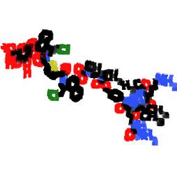 CC(=O)N[C@@H](CCCCN)C(=O)N[C@H](C(=O)N[C@@H](CCCNC(N)=O)C(=O)Nc1ccc(COC(=O)N(C)CCN(C)C(=O)Oc2cc3c(c4ccccc24)C(CCl)CN3C(=O)c2ccc(C(=O)N3C[C@@H](CCl)c4c3cc(O[C@@H]3O[C@H](C(=O)O)[C@@H](O)[C@H](O)[C@H]3O)c3ccccc43)s2)cc1)C(C)C